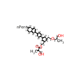 C=C(CO)COCCc1cc(CCOC(=O)C(=C)CO)cc(-c2ccc(-c3ccc4cc(CCCCC)ccc4c3)cc2)c1